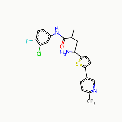 CC(CC(N)c1ccc(-c2ccc(C(F)(F)F)nc2)s1)C(=O)Nc1ccc(F)c(Cl)c1